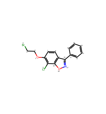 Clc1c(OCCBr)ccc2c(-c3ccccc3)noc12